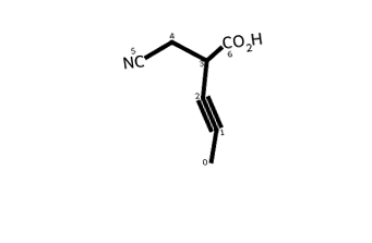 CC#CC(CC#N)C(=O)O